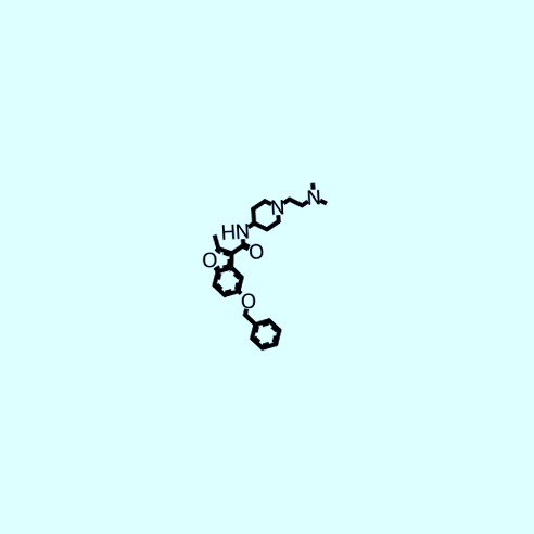 Cc1oc2ccc(OCc3ccccc3)cc2c1C(=O)NC1CCN(CCN(C)C)CC1